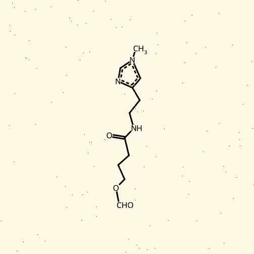 Cn1cnc(CCNC(=O)CCCOC=O)c1